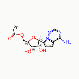 CC(C)C(=O)OC[C@H]1O[C@@](C)(c2ccc3c(N)ncnn23)[C@H](O)[C@@H]1O